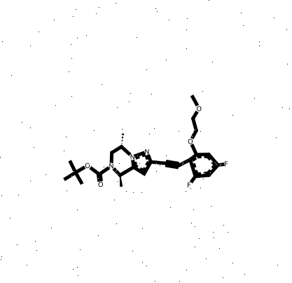 COCCOc1cc(F)cc(F)c1C#Cc1cc2n(n1)[C@@H](C)CN(C(=O)OC(C)(C)C)[C@@H]2C